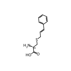 N[C@@H](CSCC=Cc1ccccc1)C(=O)O